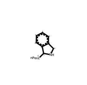 [CH2]CCCCC1NCc2ccccc21